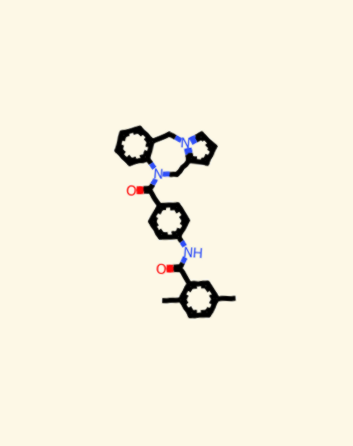 Cc1ccc(C)c(C(=O)Nc2ccc(C(=O)N3Cc4cccn4Cc4ccccc43)cc2)c1